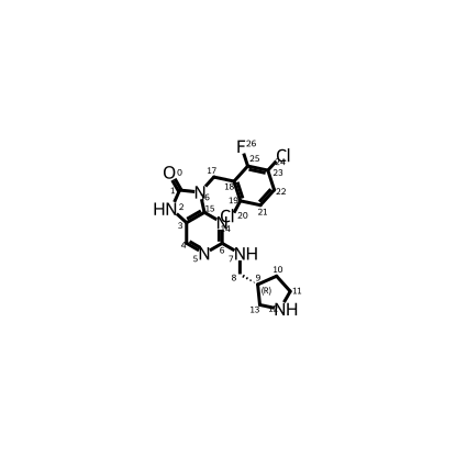 O=c1[nH]c2cnc(NC[C@@H]3CCNC3)nc2n1Cc1c(Cl)ccc(Cl)c1F